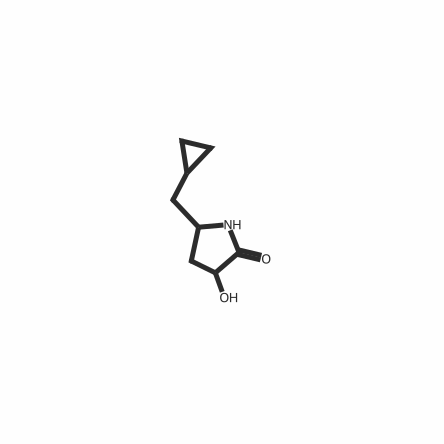 O=C1NC(CC2CC2)CC1O